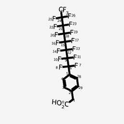 O=C(O)Cc1ccc(C(F)(F)C(F)(F)C(F)(F)C(F)(F)C(F)(F)C(F)(F)C(F)(F)C(F)(F)F)cc1